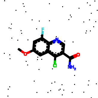 COc1cc(F)c2ncc(C(N)=O)c(Cl)c2c1